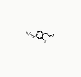 COc1ccc(CC=O)c(Br)c1